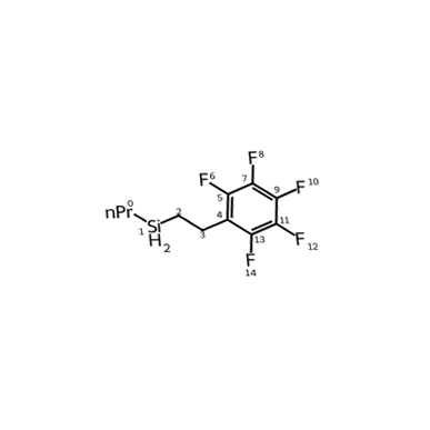 CCC[SiH2]CCc1c(F)c(F)c(F)c(F)c1F